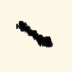 CN(C(=O)C1(OC2CC2)CCN(c2cnnc(-c3ccccc3O)c2)CC1)C1CCN(C(=O)CN2CCC(c3ccc([C@H]4CCC(=O)NC4=O)cc3)CC2)CC1